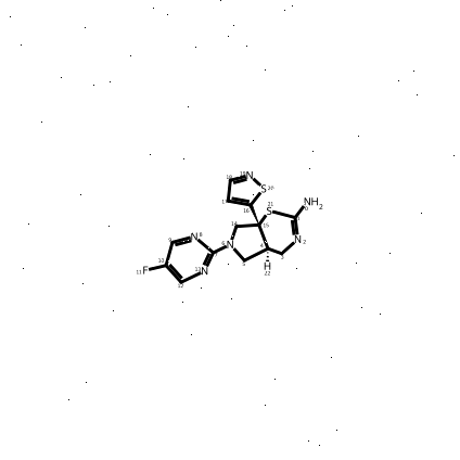 NC1=NC[C@H]2CN(c3ncc(F)cn3)C[C@]2(c2ccns2)S1